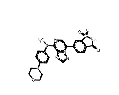 CN(c1ccc(N2CCOCC2)cc1)c1ncc(-c2ccc3c(c2)S(=O)(=O)NC3=O)n2ncnc12